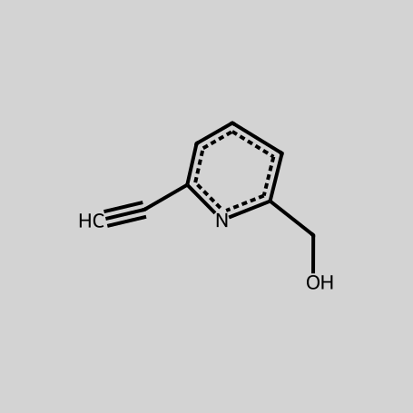 C#Cc1cccc(CO)n1